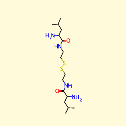 CC(C)CC(N)C(=O)NCCSSCCNC(=O)C(N)CC(C)C